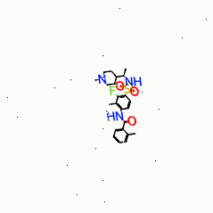 Cc1ccccc1C(=O)Nc1ccc(S(=O)(=O)N[C@H](C)C2CCN(C)CC2)c(F)c1C